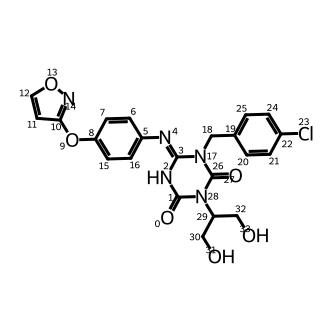 O=c1[nH]/c(=N\c2ccc(Oc3ccon3)cc2)n(Cc2ccc(Cl)cc2)c(=O)n1C(CO)CO